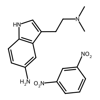 CN(C)CCc1c[nH]c2ccc(N)cc12.O=[N+]([O-])c1cccc([N+](=O)[O-])c1